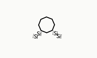 C1CCCCCCC1.[Si].[Si].[Si].[Si]